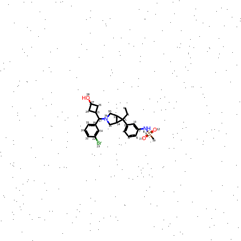 CCC1(c2cccc(NS(C)(=O)=O)c2)C2CN(C(c3cccc(Br)c3)C3CC(O)C3)CC21